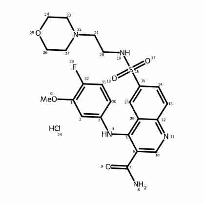 COc1cc(Nc2c(C(N)=O)cnc3ccc(S(=O)(=O)NCCN4CCOCC4)cc23)ccc1F.Cl